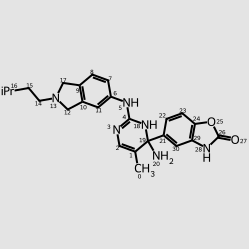 CC1=CN=C(Nc2ccc3c(c2)CN(CCC(C)C)C3)NC1(N)c1ccc2oc(=O)[nH]c2c1